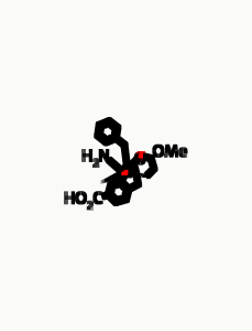 CO[C@H]1CC[C@]2(CC1)Cc1ccc(C(=O)O)cc1C21N=C(N)N(Cc2ccccc2)C1=O